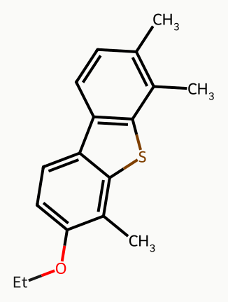 CCOc1ccc2c(sc3c(C)c(C)ccc32)c1C